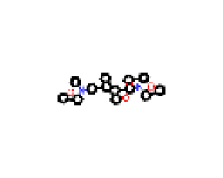 c1ccc(-c2ccccc2N(c2ccc3c(c2)Oc2cccc4c2c-3cc2c3ccccc3c(-c3ccc(N(c5ccccc5)c5cccc6c5oc5ccccc56)cc3)cc42)c2cccc3c2oc2ccccc23)cc1